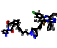 Cc1c(C#Cc2cnn(CCCC#Cc3cccc4c3C(=O)N(C3CCCNC3)C4=O)c2)sc2c1C(c1ccc(Cl)cc1)=N[C@@H](C)c1nnc(C)n1-2